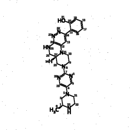 C[C@H]1CN(c2cnc(N3CCN4c5cc(-c6ccccc6O)nnc5NC[C@H]4C3)nc2)CCN1